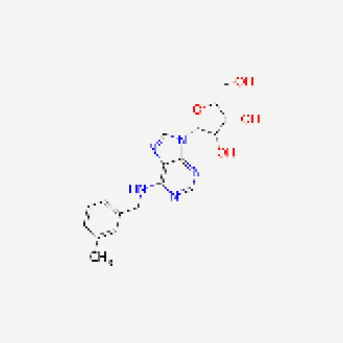 Cc1cccc(CNc2ncnc3c2ncn3[C@@H]2O[C@H](CO)C(O)[C@@H]2O)c1